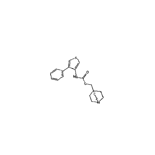 O=C(Nc1cscc1-c1ccccc1)OCC12CCN(CC1)CC2